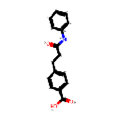 O=C(CCc1ccc(C(=O)O)cc1)Nc1ccccc1